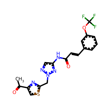 CC(=O)c1csc(Cn2ncc(NC(=O)/C=C/c3cccc(OC(F)(F)F)c3)n2)n1